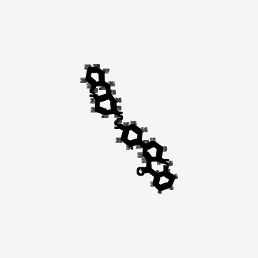 O=c1c2ccccc2sc2ccc(-c3ccc(SSc4ccc5c(c4)Cc4ccccc4S5)cc3)cc12